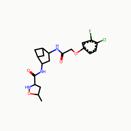 CC1CC(C(=O)NC2CC(NC(=O)COc3ccc(Cl)c(F)c3)C3CC2C3)NO1